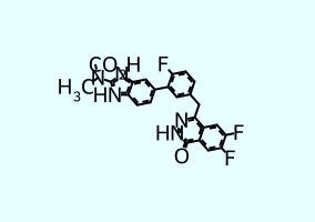 CN(C(=O)O)c1nc2cc(-c3cc(Cc4n[nH]c(=O)c5cc(F)c(F)cc45)ccc3F)ccc2[nH]1